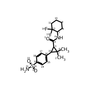 CC1(C)C(C(=O)NC2CCCCC2(F)F)C1c1ccc(S(N)(=O)=O)cc1